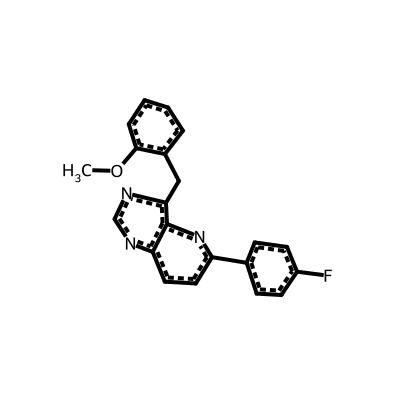 COc1ccccc1Cc1ncnc2ccc(-c3ccc(F)cc3)nc12